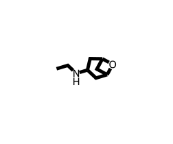 CCNC1CC2CC(C1)O2